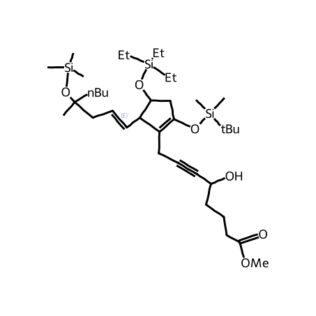 CCCCC(C)(C/C=C/C1C(CC#CC(O)CCCC(=O)OC)=C(O[Si](C)(C)C(C)(C)C)CC1O[Si](CC)(CC)CC)O[Si](C)(C)C